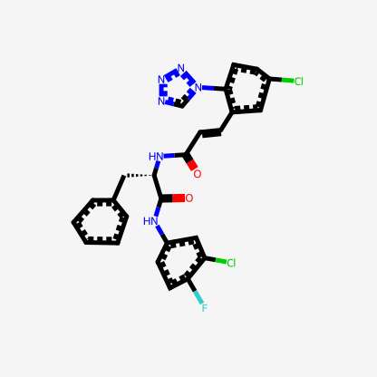 O=C(C=Cc1cc(Cl)ccc1-n1cnnn1)N[C@@H](Cc1ccccc1)C(=O)Nc1ccc(F)c(Cl)c1